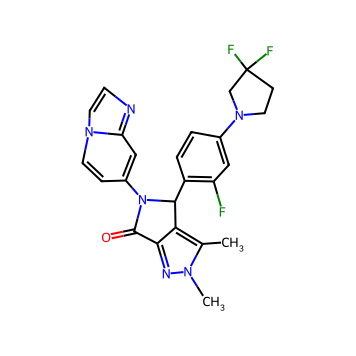 Cc1c2c(nn1C)C(=O)N(c1ccn3ccnc3c1)C2c1ccc(N2CCC(F)(F)C2)cc1F